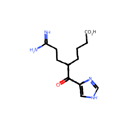 N=C(N)CC[C](CCCC(=O)O)C(=O)c1c[nH]cn1